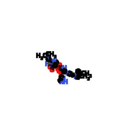 CC(C)c1ccccc1[C@@H]1CCCN1C1CC2(CCN(c3ccc(C(=O)NS(=O)(=O)c4cc([N+](=O)[O-])c(NCC5(F)CCN(C(C)C)CC5)c5[nH]ccc45)c(Oc4cnc5[nH]ccc5c4)c3)CC2)C1